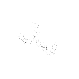 c1ccc(-c2ccc(N(c3ccc(-c4nc5c(ccc6oc7ccccc7c65)s4)cc3)c3ccc4sc5ccccc5c4c3)cc2)cc1